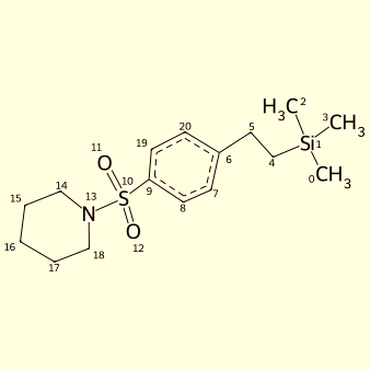 C[Si](C)(C)CCc1ccc(S(=O)(=O)N2CCCCC2)cc1